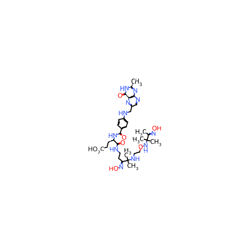 C/C(=N\O)C(C)(C)NOCCNC(C)(C)/C(CCNC(=O)C(CCC(=O)O)NC(=O)c1ccc(NCc2cnc3nc(C)[nH]c(=O)c3n2)cc1)=N/O